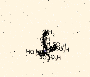 CC1(C)C(=CC=C(/C=C/C2N(CCCS(=O)(=O)O)c3ccc4c(S(=O)(=O)O)cc(S(=O)(=O)O)cc4c3C2(C)C)c2ccc(C(=O)NCCC(=O)NCc3ccc(S(N)(=O)=O)cc3)cn2)N(CCCS(=O)(=O)O)c2ccc3c(S(=O)(=O)O)cc(S(=O)(=O)O)cc3c21